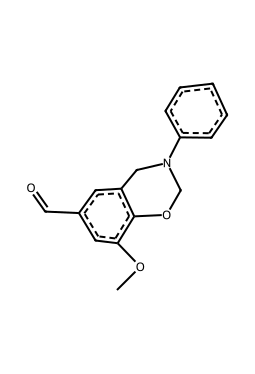 COc1cc(C=O)cc2c1OCN(c1ccccc1)C2